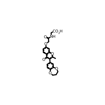 Cc1oc2cc(OCC(=O)NCC(=O)O)ccc2c(=O)c1-c1ccc2c(c1)OCCCO2